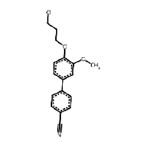 COc1cc(-c2ccc(C#N)cc2)ccc1OCCCCl